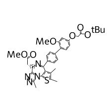 COC(=O)C[C@@H]1N=C(c2ccc(-c3ccc(OCC(=O)OC(C)(C)C)cc3OC)cc2)c2c(sc(C)c2C)-n2c(C)nnc21